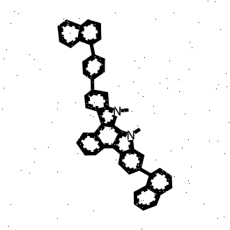 Cn1c2cc(-c3ccc(-c4cccc5ccccc45)cc3)ccc2c2c3ccccc3c3c4ccc(-c5cccc6ccccc56)cc4n(C)c3c21